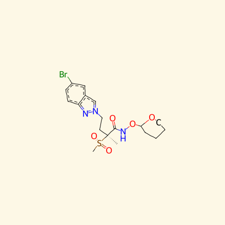 C[C@](CCn1cc2cc(Br)ccc2n1)(C(=O)NOC1CCCCO1)S(C)(=O)=O